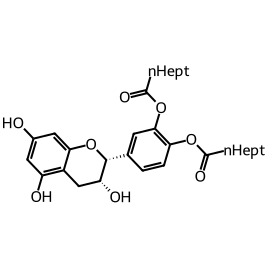 CCCCCCCC(=O)Oc1ccc([C@H]2Oc3cc(O)cc(O)c3C[C@H]2O)cc1OC(=O)CCCCCCC